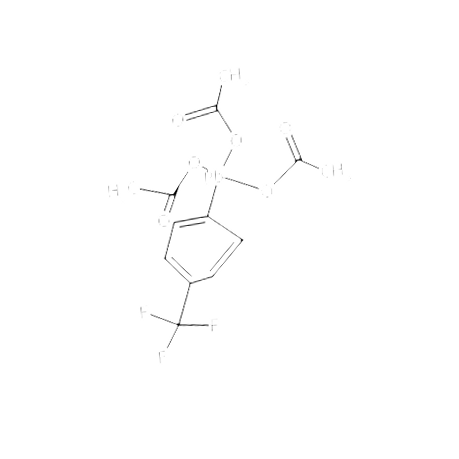 CC(=O)[O][Pb]([O]C(C)=O)([O]C(C)=O)[c]1ccc(C(F)(F)F)cc1